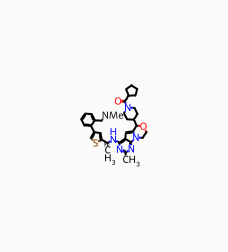 CNCc1ccccc1-c1csc([C@@H](C)Nc2nc(C)nc3c2cc2n3CCOC2C2CCN(C(=O)C3CCCC3)CC2)c1